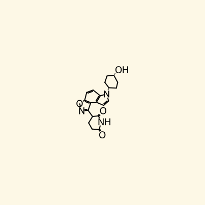 O=C1CCC(c2noc3ccc4c(ccn4[C@H]4CC[C@@H](O)CC4)c23)C(=O)N1